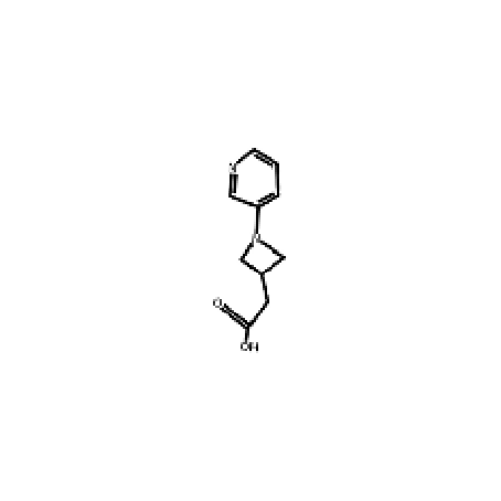 O=C(O)CC1CN(c2cccnc2)C1